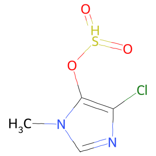 Cn1cnc(Cl)c1O[SH](=O)=O